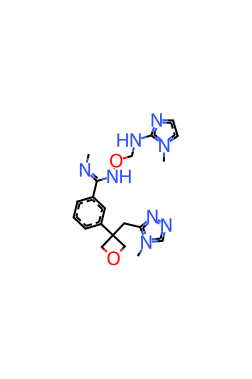 C/N=C(\NOCNc1nccn1C)c1cccc(C2(Cc3nncn3C)COC2)c1